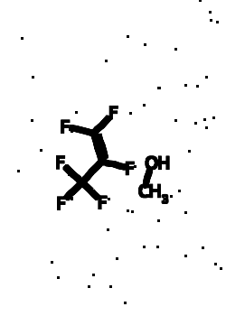 CO.FC(F)=C(F)C(F)(F)F